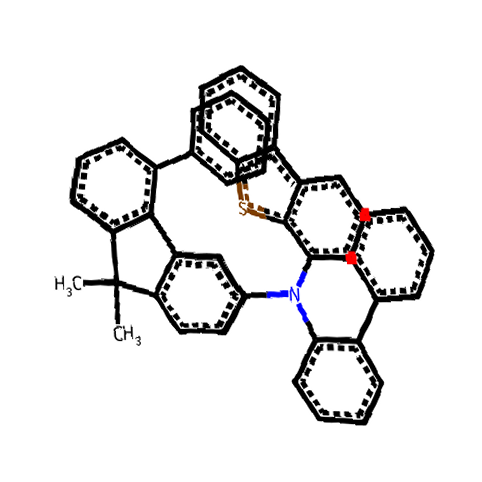 CC1(C)c2ccc(N(c3ccccc3-c3ccccc3)c3cccc4c3sc3ccccc34)cc2-c2c(-c3ccccc3)cccc21